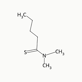 CCCCC(=S)N(C)C